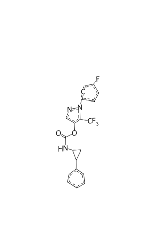 O=C(NC1CC1c1ccccc1)Oc1cnn(-c2ccc(F)cc2)c1C(F)(F)F